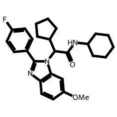 COc1ccc2nc(-c3ccc(F)cc3)n(C(C(=O)NC3CCCCC3)C3CCCC3)c2c1